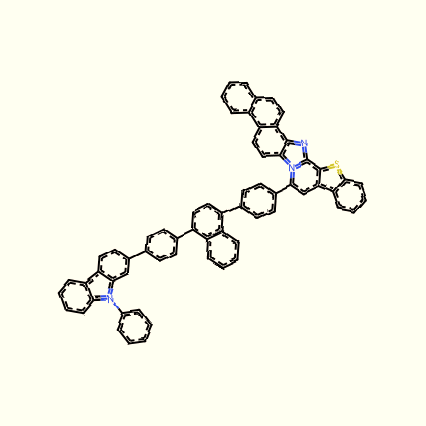 c1ccc(-n2c3ccccc3c3ccc(-c4ccc(-c5ccc(-c6ccc(-c7cc8c9ccccc9sc8c8nc9c%10ccc%11ccccc%11c%10ccc9n78)cc6)c6ccccc56)cc4)cc32)cc1